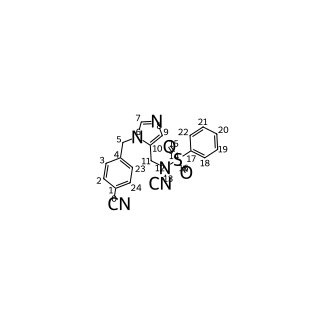 N#Cc1ccc(Cn2cncc2CN(C#N)S(=O)(=O)c2ccccc2)cc1